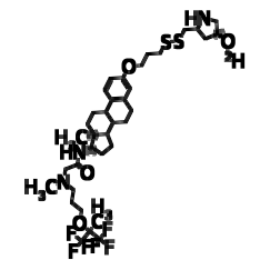 [2H]CO[C@@H]1CNC(CSSCCCOc2ccc3c(c2)CCC2C3CC[C@@]3(C)C2CC[C@@H]3NC(=O)CN(C)CCCOC(C)(C(F)(F)F)C(F)(F)F)C1